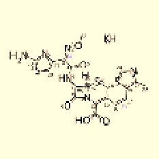 CO/N=C(\C(=O)N[C@@H]1C(=O)N2C(C(=O)O)=C(/C=C\c3scnc3C)CS[C@H]12)c1csc(N)n1.[KH]